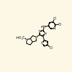 O=C(O)N1CCC2CN(c3sc(Nc4cnc(Cl)c(Cl)c4)nc3-c3cc(Cl)cs3)CC21